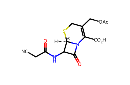 CC(=O)OCC1=C(C(=O)O)N2C(=O)C(NC(=O)CC#N)[C@H]2SC1